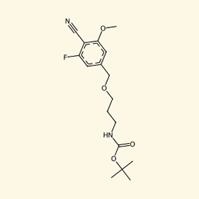 COc1cc(COCCCNC(=O)OC(C)(C)C)cc(F)c1C#N